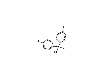 CC(Cl)(c1ccc(F)cc1)c1ccc(F)cc1